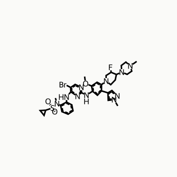 COc1cc(N2CCC(N3CCN(C)CC3)C(F)C2)c(-c2cnn(C)c2)cc1Nc1ncc(Br)c(Nc2ccccc2N(C)S(=O)(=O)C2CC2)n1